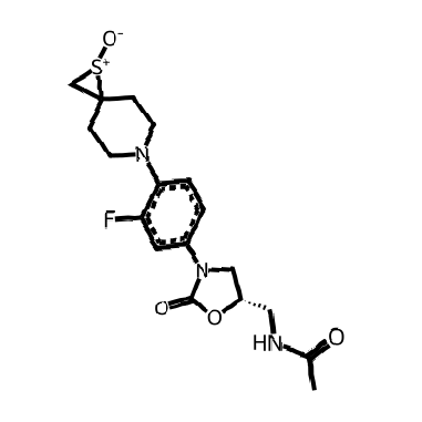 CC(=O)NC[C@H]1CN(c2ccc(N3CCC4(CC3)C[S+]4[O-])c(F)c2)C(=O)O1